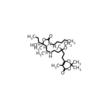 CCCCCN1C(=O)O[C@](C)([C@H](O)CC)[C@H]1[C@@H](C)NCCC(C)(CCC1=C(C)C(=O)OC(C)(C)O1)OC